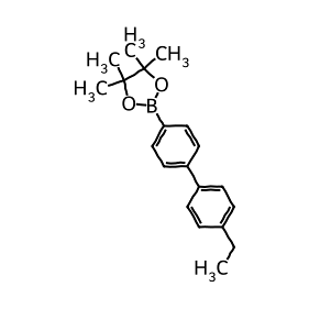 CCc1ccc(-c2ccc(B3OC(C)(C)C(C)(C)O3)cc2)cc1